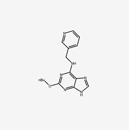 CCCCOc1nc(NCc2cccnc2)c2nc[nH]c2n1